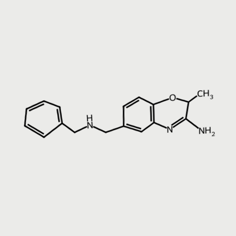 CC1Oc2ccc(CNCc3ccccc3)cc2N=C1N